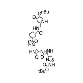 CCCCOc1c[nH]c(CNC(=O)c2cccc(S(=O)(=O)NC[C@H]3NC(=O)[C@H]3NC(=O)C(=N)c3csc(NC(=O)OC(C)(C)C)n3)c2)cc1=O